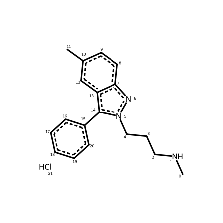 CNCCCn1nc2ccc(C)cc2c1-c1ccccc1.Cl